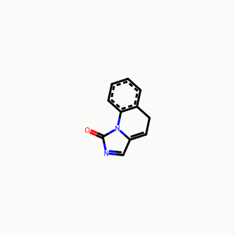 O=C1N=CC2=CCc3ccccc3N12